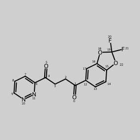 O=C(CCC(=O)c1cccnn1)c1ccc2c(c1)OC(F)(F)O2